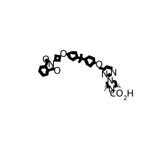 C[C@@H]1CN(c2nccc(COc3ccc(C(C)(C)c4ccc(O[C@H]5C[C@@H](N6C(=O)c7ccccc7C6=O)C5)cc4)cc3)n2)C[C@H](C)N1C(=O)O